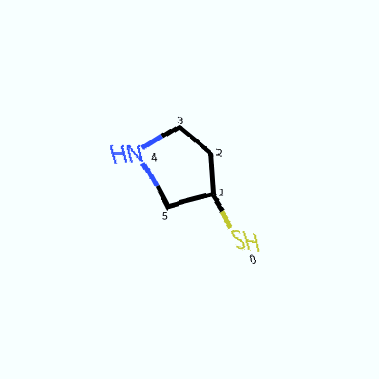 SC1CCNC1